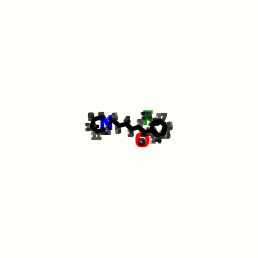 O=C(CCCCCN1CC[CH]CC1)c1ccccc1F